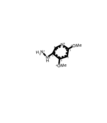 COc1cc(OC)c(NN)cn1